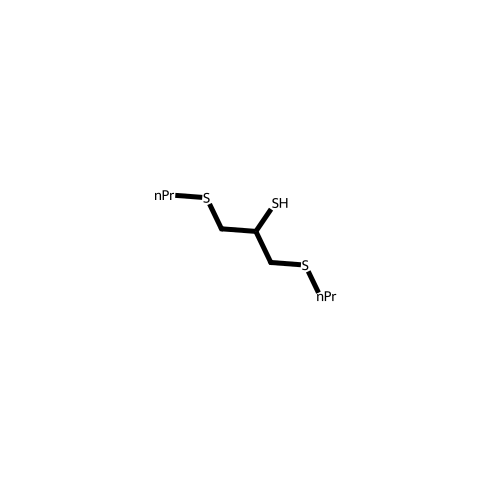 CCCSCC(S)CSCCC